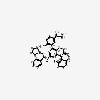 Cc1ccc(C(=O)NC(C)C)cc1-c1nc(NC(CN2CCCC2)c2ccccc2)nc2c1CNC(=O)N2c1c(F)cccc1F